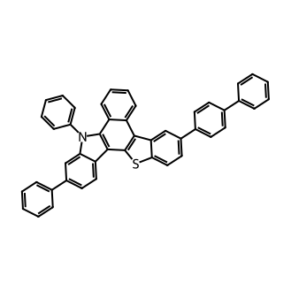 c1ccc(-c2ccc(-c3ccc4sc5c(c4c3)c3ccccc3c3c5c4ccc(-c5ccccc5)cc4n3-c3ccccc3)cc2)cc1